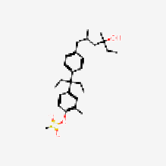 CCC(C)(O)CC(C)Cc1ccc(C(CC)(CC)c2ccc(OS(C)(=O)=O)c(C)c2)cc1